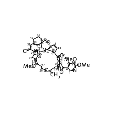 COc1ncc(C(=O)N[S@@]2(=O)=NC(=O)c3ccc4c(c3)N(C[C@@H]3CC[C@H]3[C@@H](OC)/C=C/C[C@H](C)C2)C[C@@]2(CCCc3cc(Cl)ccc32)CO4)c(OC)n1